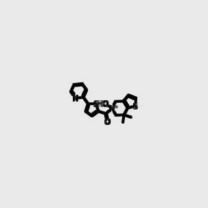 CC1(C)C[N+](O)(C(=O)c2ccc(-c3ccccn3)s2)Cc2ccsc21